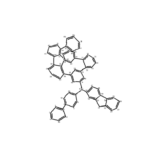 c1ccc(-c2ccc(N(c3cc(-c4ccccc4-c4ccccc4)cc(-c4cccc5c4oc4c(-c6ccccc6)cccc45)c3)c3ccc4c(c3)Cc3ccccc3-4)cc2)cc1